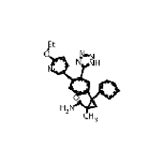 CCOc1ccc(-c2ccc(C3(c4ccccc4)CC3(C)C(N)=O)cc2-c2nnn[nH]2)cn1